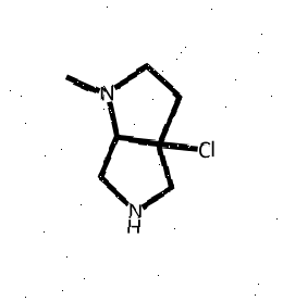 CN1CCC2(Cl)CNCC12